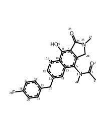 CC(=O)N(C)c1c2c(c(O)c3ncc(Cc4ccc(F)cc4)cc13)C(=O)N(C)C2